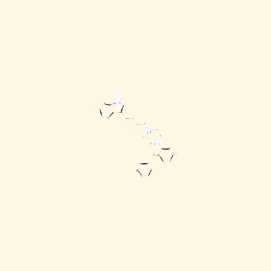 c1ccc(Oc2ccccc2N2CCN(CCCCc3c[nH]c4ccccc34)CC2)cc1